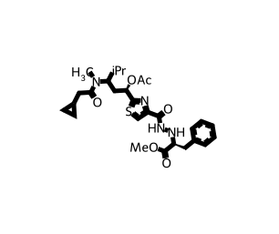 COC(=O)[C@H](Cc1ccccc1)NNC(=O)c1csc([C@@H](CC(C(C)C)N(C)C(=O)CC2CC2)OC(C)=O)n1